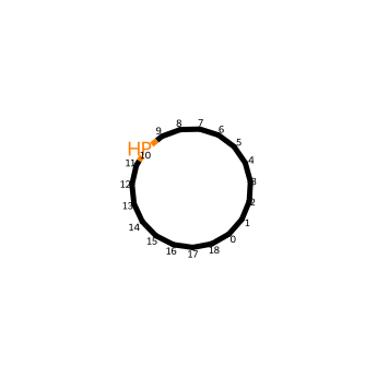 C1CCCCCCCCCPCCCCCCCC1